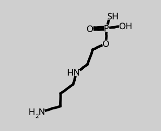 NCCCNCCOP(=O)(O)S